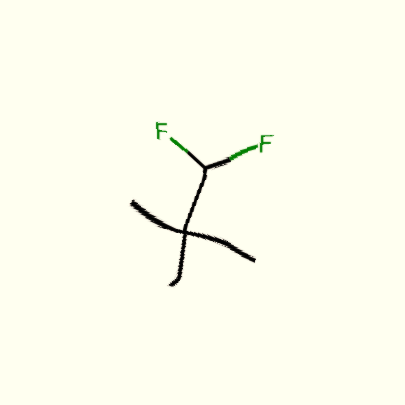 CC(C)(C)C(F)F